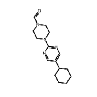 O=CN1CCN(c2ncc(C3CCCCC3)cn2)CC1